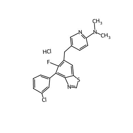 CN(C)c1ccc(Cc2cc3scnc3c(-c3cccc(Cl)c3)c2F)cn1.Cl